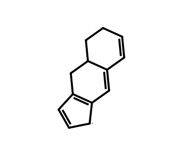 [CH]1C=CC2=C1C=C1C=CCCC1C2